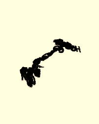 [C-]#[N+]/C(=C\c1cc[n+](CCOCCCOC(=O)CCC(C)(c2ccc(C)cc2)c2ccc(O)cc2)cc1)c1cc(-c2ccccc2)c(C(C#N)C(=O)OC)cc1-c1ccccc1